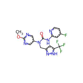 COc1ncc(N(Cc2cc(C(F)(F)F)[nH]n2)C(=O)Nc2cc(F)ccn2)cn1